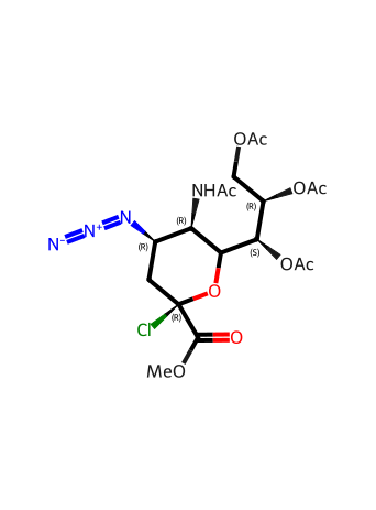 COC(=O)[C@]1(Cl)C[C@@H](N=[N+]=[N-])[C@@H](NC(C)=O)C([C@H](OC(C)=O)[C@@H](COC(C)=O)OC(C)=O)O1